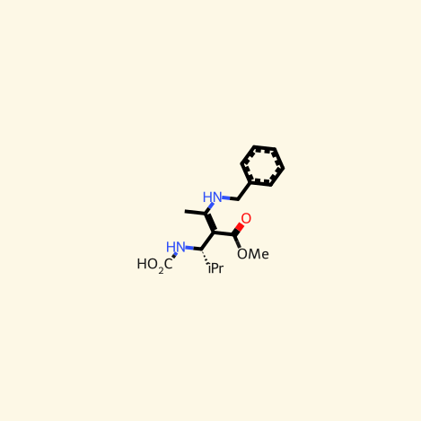 COC(=O)C(=C(C)NCc1ccccc1)[C@@H](NC(=O)O)C(C)C